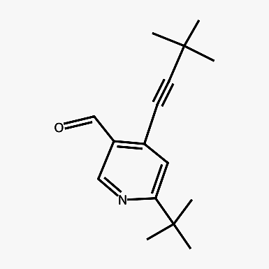 CC(C)(C)C#Cc1cc(C(C)(C)C)ncc1C=O